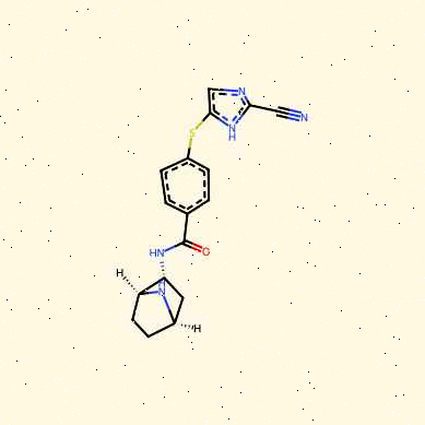 N#Cc1ncc(Sc2ccc(C(=O)N[C@@H]3C[C@H]4CC[C@@H]3N4)cc2)[nH]1